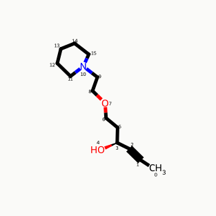 CC#C[C@@H](O)CCOCCN1CCCCC1